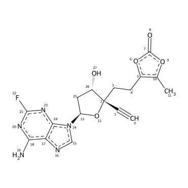 C#C[C@@]1(C[CH]c2oc(=O)oc2C)O[C@@H](n2cnc3c(N)nc(F)nc32)C[C@@H]1O